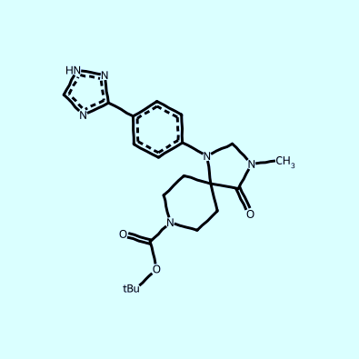 CN1CN(c2ccc(-c3nc[nH]n3)cc2)C2(CCN(C(=O)OC(C)(C)C)CC2)C1=O